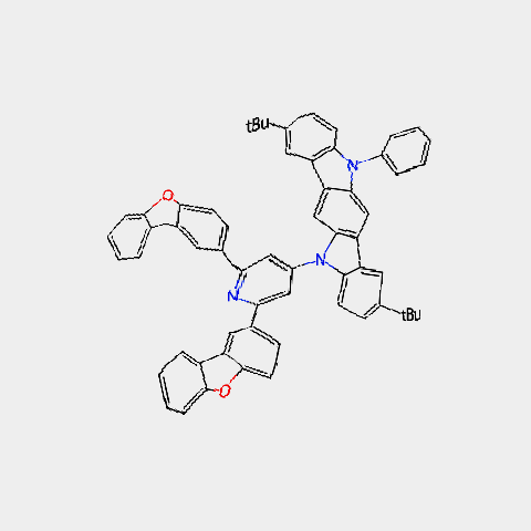 CC(C)(C)c1ccc2c(c1)c1cc3c(cc1n2-c1ccccc1)c1cc(C(C)(C)C)ccc1n3-c1cc(-c2ccc3oc4ccccc4c3c2)nc(-c2ccc3oc4ccccc4c3c2)c1